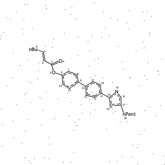 CCCCC=CC(=O)Oc1ccc(-c2ccc(-c3ncc(CCCCC)s3)cc2)cc1